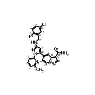 Cc1cccc(-n2nc(NCc3cc(Cl)ccc3F)cc2-c2ccn3ncc(C(N)=O)c3c2)n1